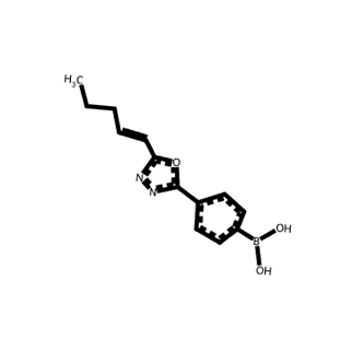 CCC/C=C/c1nnc(-c2ccc(B(O)O)cc2)o1